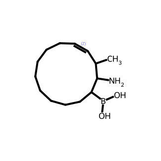 CC1/C=C\CCCCCCCCC(B(O)O)C1N